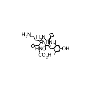 Cc1cc(O)cc(C)c1C[C@H](NC(CN)=C1CCC1)C(=O)NC(CCCCN)C(NCC(=O)O)=C1CCC1